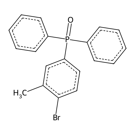 Cc1cc(P(=O)(c2ccccc2)c2ccccc2)ccc1Br